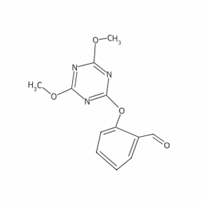 COc1nc(OC)nc(Oc2ccccc2C=O)n1